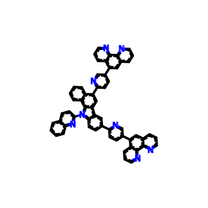 c1ccc2nc(-n3c4ccc(-c5ccc(-c6cc7cccnc7c7ncccc67)cn5)cc4c4cc(-c5ccc(-c6cc7cccnc7c7ncccc67)cn5)c5ccccc5c43)ccc2c1